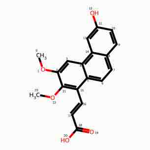 COc1cc2c(ccc3ccc(O)cc32)c(/C=C/C(=O)O)c1OC